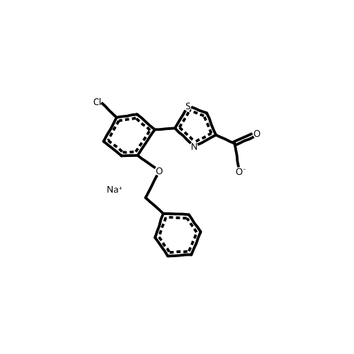 O=C([O-])c1csc(-c2cc(Cl)ccc2OCc2ccccc2)n1.[Na+]